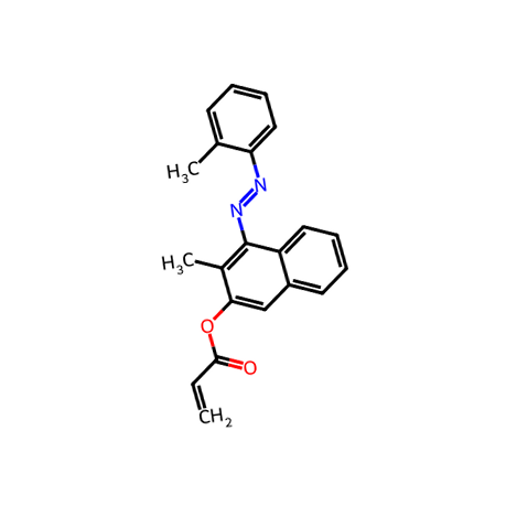 C=CC(=O)Oc1cc2ccccc2c(N=Nc2ccccc2C)c1C